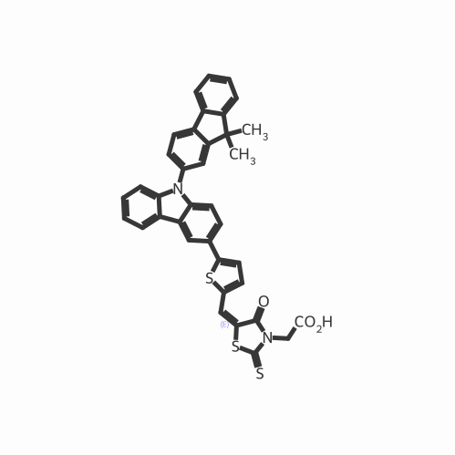 CC1(C)c2ccccc2-c2ccc(-n3c4ccccc4c4cc(-c5ccc(/C=C6/SC(=S)N(CC(=O)O)C6=O)s5)ccc43)cc21